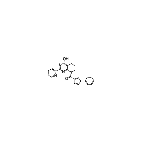 O=C(C1=CC(c2ccccc2)C=C1)N1CCCc2c(O)nc(-c3ccccn3)nc21